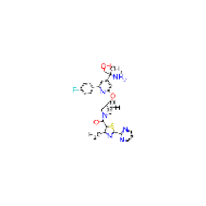 Cc1nc(-c2ncccn2)sc1C(=O)N1CC2[C@@H](C1)[C@@H]2Oc1cc(C(C)(N)CO)cc(-c2ccc(F)cc2)n1